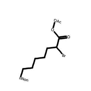 CCCCCCCCCCCCCCC(Br)C(=O)OOC(C)=O